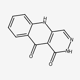 O=c1[nH]ncc2[nH]c3ccccc3c(=O)c12